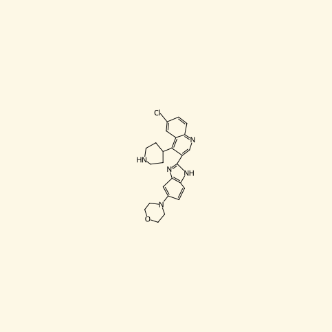 Clc1ccc2ncc(-c3nc4cc(N5CCOCC5)ccc4[nH]3)c(C3CCNCC3)c2c1